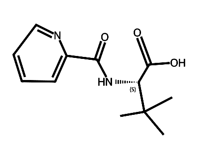 CC(C)(C)[C@H](NC(=O)c1ccccn1)C(=O)O